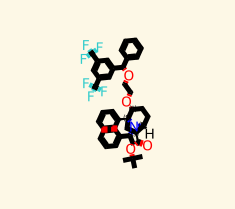 CC(c1ccccc1)N1[C@@H]2CC[C@H](OCCOC(c3ccccc3)c3cc(C(F)(F)F)cc(C(F)(F)F)c3)[C@@]1(c1ccccc1)C[C@@H]2C(=O)OC(C)(C)C